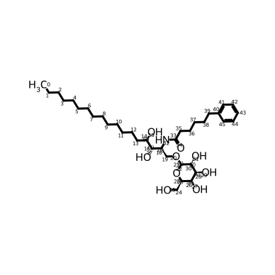 CCCCCCCCCCCCCC[C@@H](O)[C@@H](O)[C@H](CO[C@@H]1O[C@H](CO)[C@H](O)[C@H](O)[C@H]1O)NC(=O)CCCCCc1ccccc1